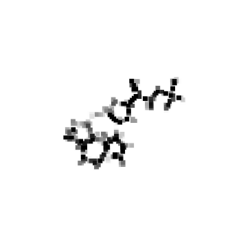 CC(F)(F)CNC(=O)N1C[C@@H](I)[C@@H](c2cnc3cnc4[nH]ccc4n23)C1